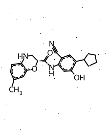 Cc1ccc2c(c1)O[C@H](C(=O)Nc1cc(O)c(C3CCCC3)cc1C#N)CN2